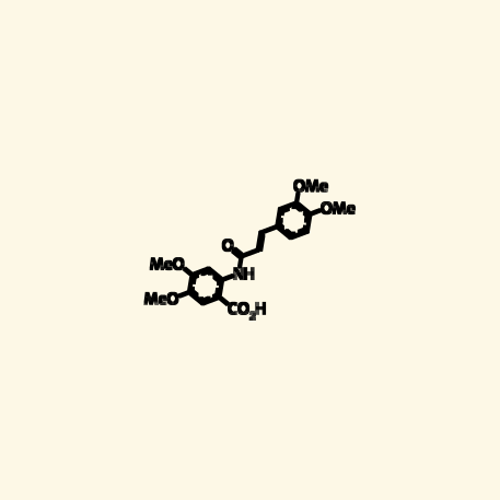 COc1ccc(/C=C/C(=O)Nc2cc(OC)c(OC)cc2C(=O)O)cc1OC